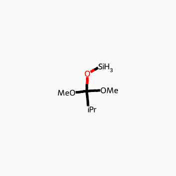 COC(OC)(O[SiH3])C(C)C